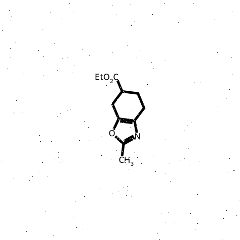 CCOC(=O)C1CCc2nc(C)oc2C1